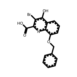 O=C(O)c1nc2c(OCc3ccccc3)cccc2c(O)c1Br